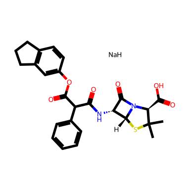 CC1(C)S[C@@H]2[C@H](NC(=O)C(C(=O)Oc3ccc4c(c3)CCC4)c3ccccc3)C(=O)N2[C@H]1C(=O)O.[NaH]